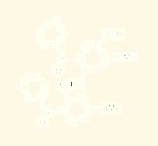 COc1cc(O)c(C(=O)c2ccccc2)cc1S(=O)(=O)O.COc1ccc(C(=O)c2ccccc2)c(O)c1